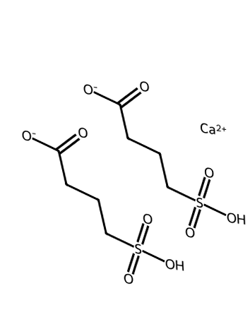 O=C([O-])CCCS(=O)(=O)O.O=C([O-])CCCS(=O)(=O)O.[Ca+2]